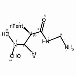 CCCCC[C@@H](C(=O)NCN)C(CC)N(O)C=O